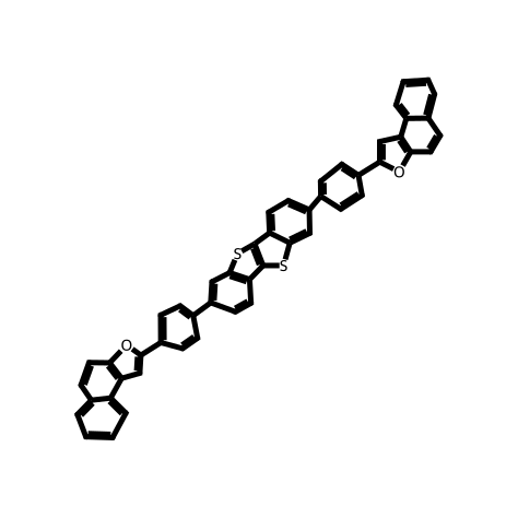 c1ccc2c(c1)ccc1oc(-c3ccc(-c4ccc5c(c4)sc4c6ccc(-c7ccc(-c8cc9c(ccc%10ccccc%109)o8)cc7)cc6sc54)cc3)cc12